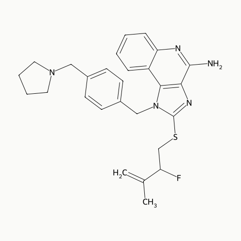 C=C(C)C(F)CSc1nc2c(N)nc3ccccc3c2n1Cc1ccc(CN2CCCC2)cc1